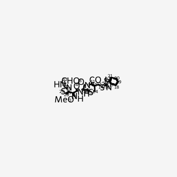 CON=C(C(=O)NC1C(=O)N2C(C(=O)O)=C(CSc3nc4ccccc4s3)CS[C@@H]12)c1csc(NC=O)n1